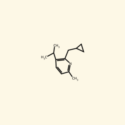 Cc1ccc(C(C)C)c(CC2CC2)n1